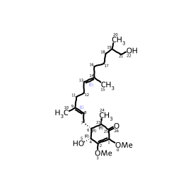 COC1=C(OC)[C@H](O)[C@H](C/C=C(\C)CC/C=C(\C)CCCC(C)CO)[C@@H](C)C1=O